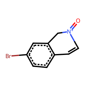 O=[N+]1C=Cc2ccc(Br)cc2C1